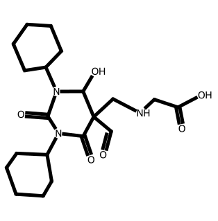 O=CC1(CNCC(=O)O)C(=O)N(C2CCCCC2)C(=O)N(C2CCCCC2)C1O